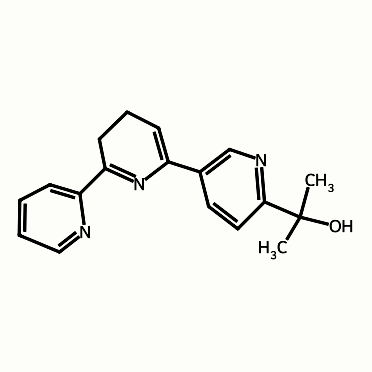 CC(C)(O)c1ccc(C2=CCCC(c3ccccn3)=N2)cn1